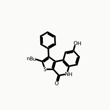 CCCCc1sc2c(=O)[nH]c3ccc(O)cc3c2c1-c1ccccc1